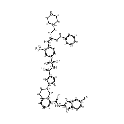 O=C(NS(=O)(=O)c1ccc(N[C@H](CCN2CCOCC2)CSc2ccccc2)c(C(F)(F)F)c1)c1csc(N2CCc3cccc(C(=O)Nc4nc5ccc(F)cc5s4)c3C2)n1